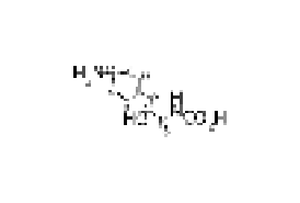 C[C@H](NC(=O)O)[C@H](O)CC1CCC(N)CC1